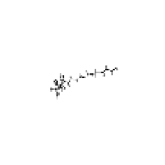 CCCCCCCCCCCCNS(=O)(=O)C(F)F